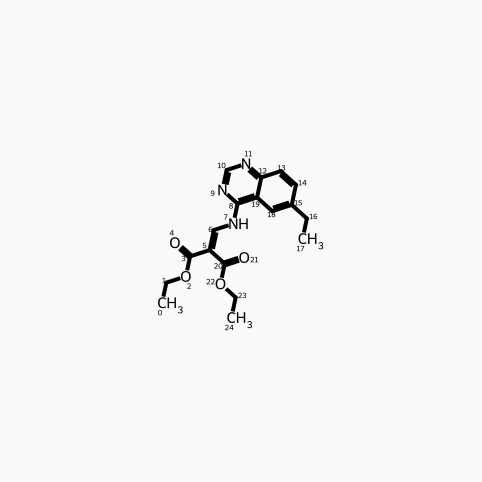 CCOC(=O)C(=CNc1ncnc2ccc(CC)cc12)C(=O)OCC